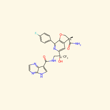 C[C@]1(C(N)=O)COc2c1cc([C@@](O)(CNC(=O)c1c[nH]c3nccnc13)C(F)(F)F)nc2-c1ccc(F)cc1